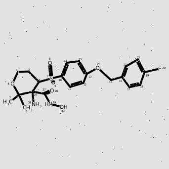 CC1(C)OCCC(S(=O)(=O)c2ccc(OCc3ccc(F)cc3)cc2)C1(N)C(=O)NO